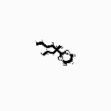 CCCCC(C)(CCC)C1OCCCO1